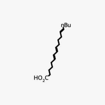 CCCCC=CCCCC=CC=CCCCCC(=O)O